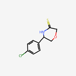 S=C1COCC(c2ccc(Cl)cc2)N1